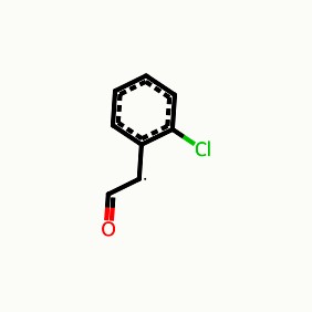 O=C[CH]c1ccccc1Cl